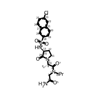 CC(C)N(CC(N)=O)C(=O)[C@H](C)N1CC[C@H](NS(=O)(=O)c2ccc3cc(Cl)ccc3c2)C1=O